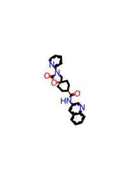 O=C1O[C@]2(CC[C@H](C(=O)Nc3cnc4ccccc4c3)CC2)CN1c1ccccn1